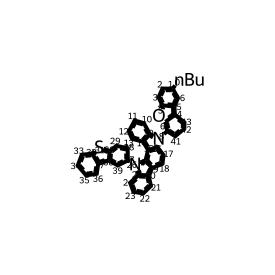 CCCCc1ccc2oc3c(-n4c5ccccc5c5c4ccc4c6ccccc6n(-c6ccc7sc8ccccc8c7c6)c45)cccc3c2c1